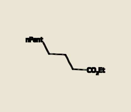 C[CH]OC(=O)CCCCCCCC